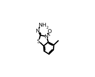 Cc1cccc2c1[N+](=O)C(=NN)S2